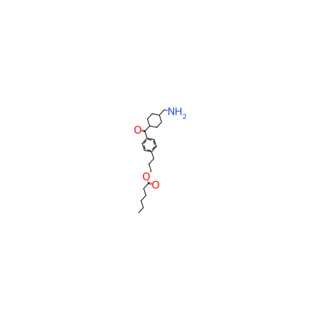 CCCCCC(=O)OCCCc1ccc(C(=O)C2CCC(CN)CC2)cc1